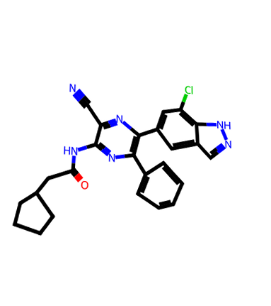 N#Cc1nc(-c2cc(Cl)c3[nH]ncc3c2)c(-c2ccccc2)nc1NC(=O)CC1CCCC1